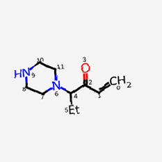 C=CC(=O)C(CC)N1CCNCC1